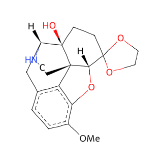 COc1ccc2c3c1O[C@H]1C4(CC[C@@]5(O)[C@@H](C2)NCC[C@]315)OCCO4